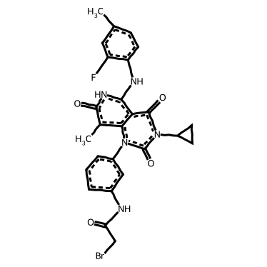 Cc1ccc(Nc2[nH]c(=O)c(C)c3c2c(=O)n(C2CC2)c(=O)n3-c2cccc(NC(=O)CBr)c2)c(F)c1